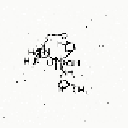 CCc1cncc(CNCC(O)C2Cc3ccc(c(F)c3)OCCCCC(=O)N(C)C(CC(N)=O)C(=O)N2)c1